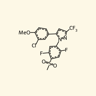 COc1ccc(-c2cc(C(F)(F)F)nn2-c2cc(F)c(S(C)(=O)=O)cc2F)cc1Cl